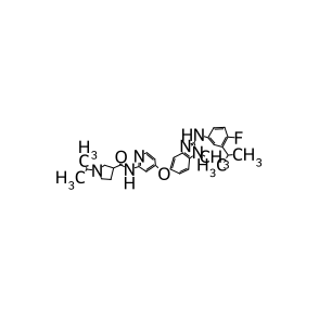 CC(C)c1cc(Nc2nc3cc(Oc4ccnc(NC(=O)C5CCN(C(C)C)C5)c4)ccc3n2C)ccc1F